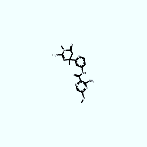 COc1cnc(C(=O)Nc2ccnc(C3(C)CC(=O)N(C)C(N)=N3)c2)c(N)n1